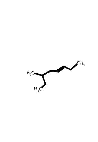 CCC=CCC(C)CC